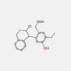 CCC1CCc2ccccc2C1c1cc(O)c(CI)cc1CNC